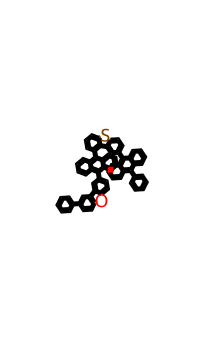 c1ccc(-c2ccc3oc4ccc(-c5c6ccccc6c(-c6cccc7sc8ccc(-c9c%10ccccc%10c(-c%10ccccc%10)c%10ccccc9%10)cc8c67)c6ccccc56)cc4c3c2)cc1